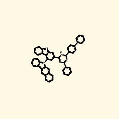 c1ccc(C2=NC(c3ccc(-c4ccccc4)cc3)NC(c3cc(-n4c5ccccc5c5cc6ccccc6cc54)c4c(c3)oc3ccccc34)=N2)cc1